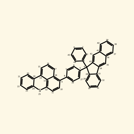 c1ccc(C2(c3ccc(-c4ccc5c6c(cccc46)-c4ccccc4S5)cc3)c3ccccc3-c3cc4ccccc4cc32)cc1